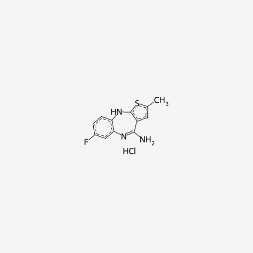 Cc1cc2c(s1)Nc1ccc(F)cc1N=C2N.Cl